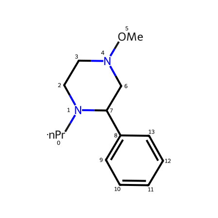 CC[CH]N1CCN(OC)CC1c1ccccc1